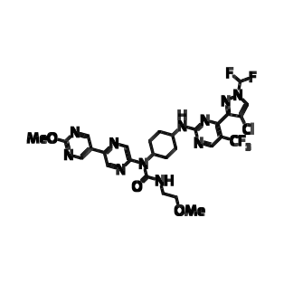 COCCNC(=O)N(c1cnc(-c2cnc(OC)nc2)cn1)C1CCC(Nc2ncc(C(F)(F)F)c(-c3nn(C(F)F)cc3Cl)n2)CC1